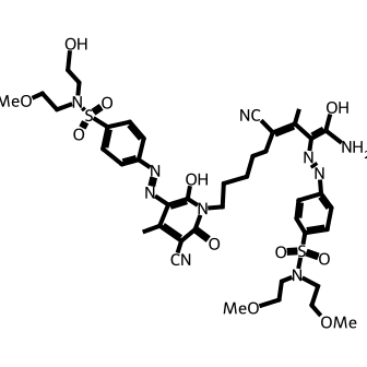 COCCN(CCO)S(=O)(=O)c1ccc(/N=N/c2c(C)c(C#N)c(=O)n(CCCCC/C(C#N)=C(/C)C(/N=N/c3ccc(S(=O)(=O)N(CCOC)CCOC)cc3)=C(N)O)c2O)cc1